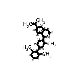 Cc1cc(-c2c(C)cccc2C)ccc1-c1nccc2cc(C(C)C)ccc12